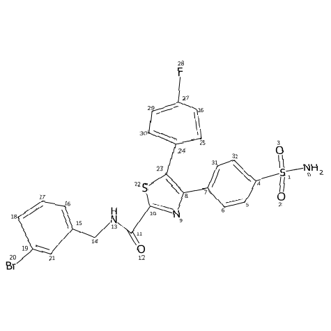 NS(=O)(=O)c1ccc(-c2nc(C(=O)NCc3cccc(Br)c3)sc2-c2ccc(F)cc2)cc1